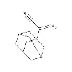 C=C(C#N)C12CC3CC(CC(C3)C1)C2